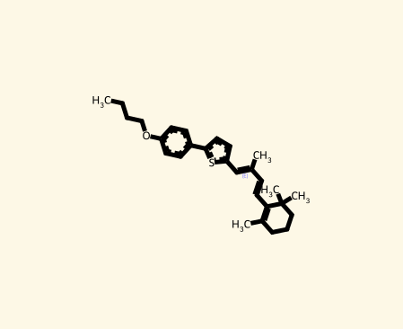 CCCCOc1ccc(-c2ccc(/C=C(\C)C=CC3=C(C)CCCC3(C)C)s2)cc1